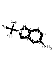 [2H]C([2H])([2H])n1cc2cc(N)ccc2n1